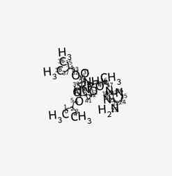 CCC(CC)COC(=O)C1(NP(=O)(CO[C@H](C)Cn2cnc3c(N)ccnc32)NC2(C(=O)OCC(CC)CC)CC2)CC1